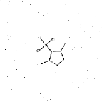 CC1CCC(C)C1[Si](Cl)(Cl)Cl